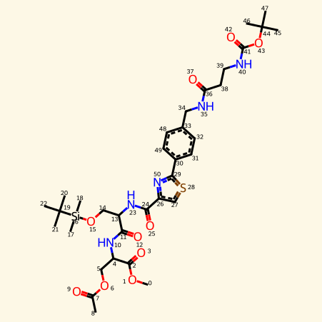 COC(=O)C(COC(C)=O)NC(=O)C(CO[Si](C)(C)C(C)(C)C)NC(=O)c1csc(-c2ccc(CNC(=O)CCNC(=O)OC(C)(C)C)cc2)n1